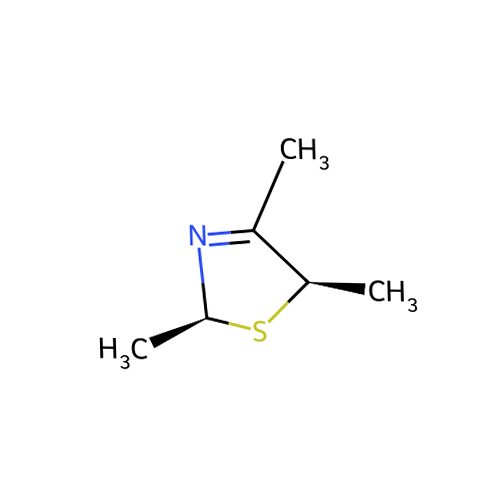 CC1=N[C@H](C)S[C@@H]1C